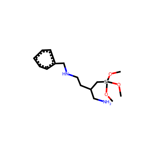 CO[Si](CC(CN)CCNCc1ccccc1)(OC)OC